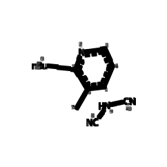 CCCCc1ncccc1C.N#CNC#N